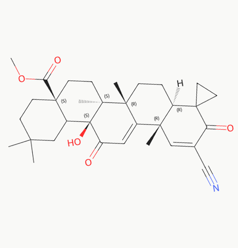 COC(=O)[C@]12CCC(C)(C)CC1[C@@]1(O)C(=O)C=C3[C@@]4(C)C=C(C#N)C(=O)C5(CC5)[C@@H]4CC[C@@]3(C)[C@]1(C)CC2